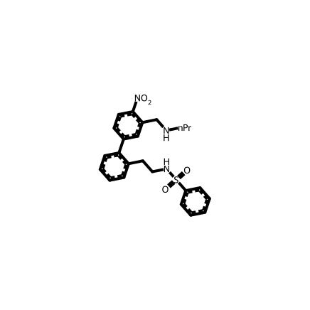 CCCNCc1cc(-c2ccccc2CCNS(=O)(=O)c2ccccc2)ccc1[N+](=O)[O-]